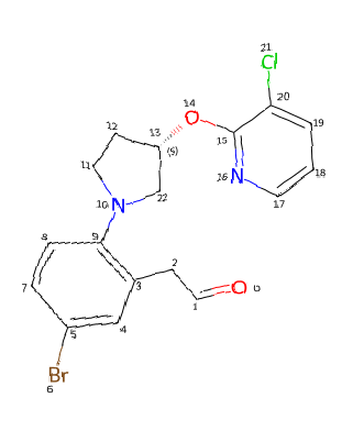 O=CCc1cc(Br)ccc1N1CC[C@H](Oc2ncccc2Cl)C1